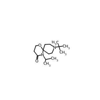 CC(C)N1C(=O)CCOC12CCN(C(C)(C)C)CC2